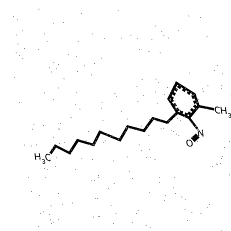 CCCCCCCCCCCc1cccc(C)c1N=O